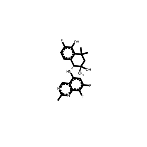 Cc1ncc2c(N[C@@H]3c4ccc(F)c(O)c4C(C)(C)C[C@@]3(O)C(F)(F)F)cc(F)c(F)c2n1